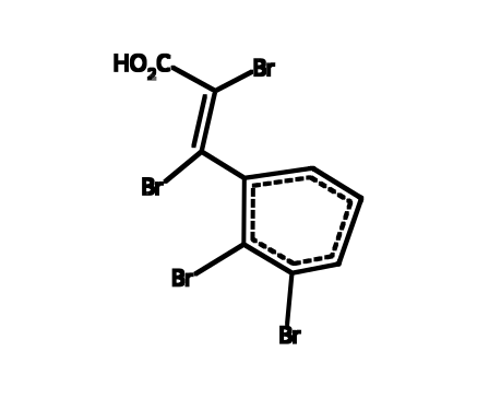 O=C(O)C(Br)=C(Br)c1cccc(Br)c1Br